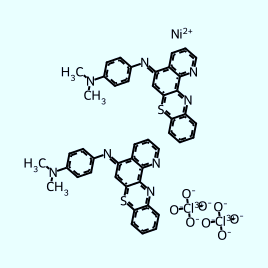 CN(C)c1ccc(N=c2cc3sc4ccccc4nc-3c3ncccc23)cc1.CN(C)c1ccc(N=c2cc3sc4ccccc4nc-3c3ncccc23)cc1.[Ni+2].[O-][Cl+3]([O-])([O-])[O-].[O-][Cl+3]([O-])([O-])[O-]